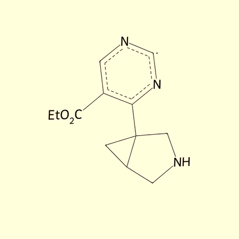 CCOC(=O)c1cn[c]nc1C12CNCC1C2